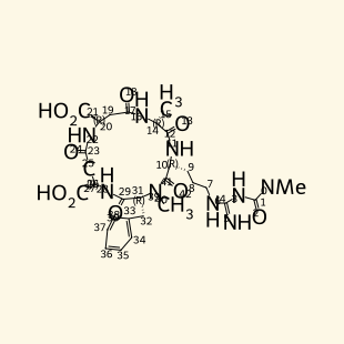 CNC(=O)NC(=N)NCCC[C@H]1NC(=O)[C@@H](C)NC(=O)C[C@H](C(=O)O)NC(=O)C[C@H](C(=O)O)NC(=O)[C@@H](Cc2ccccc2)N(C)C1=O